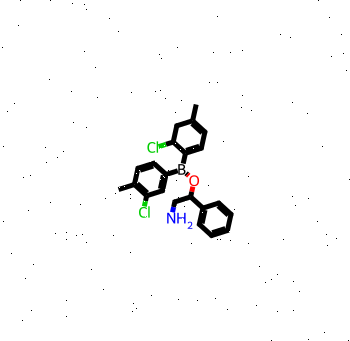 CC1=CC=C(B(OC(CN)c2ccccc2)c2ccc(C)c(Cl)c2)C(Cl)C1